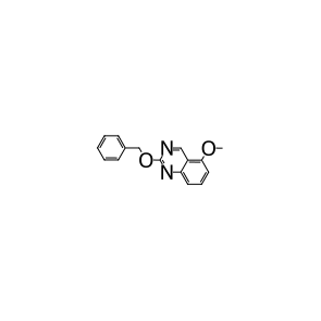 COc1cccc2nc(OCc3ccccc3)ncc12